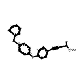 CC(=O)NC(C)C#Cc1ccc(Oc2ccc(Cc3ccccc3)cc2)cc1